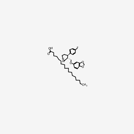 CCCCCCCCCCCCCCCCCC(=O)O.Fc1ccc([C@@H]2CCNC[C@H]2COc2ccc3c(c2)OCO3)cc1